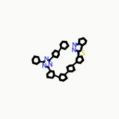 c1ccc(-c2ccc(-c3nc(-c4ccccc4)nc(-c4cccc(-c5cccc(-c6ccc(-c7ccc8sc9c%10ccccc%10nnc9c8c7)cc6)c5)c4)n3)cc2)cc1